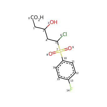 O=C(O)CC(O)CC(Cl)S(=O)(=O)c1ccc(F)cc1